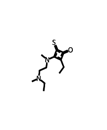 CCc1c(N(C)CCN(C)CC)c(=S)c1=O